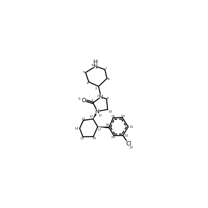 O=C1N(C2CCNCC2)CCN1[C@@H]1CCCC[C@@H]1c1cccc(Cl)c1